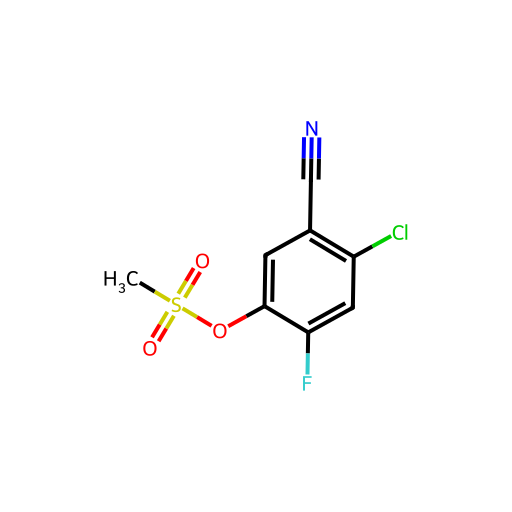 CS(=O)(=O)Oc1cc(C#N)c(Cl)cc1F